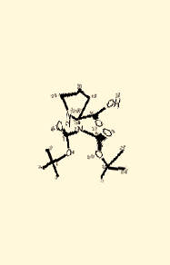 CC(C)(C)OC(=O)N(C(=O)OC(C)(C)C)[C@@]1(C(=O)O)CCCN1